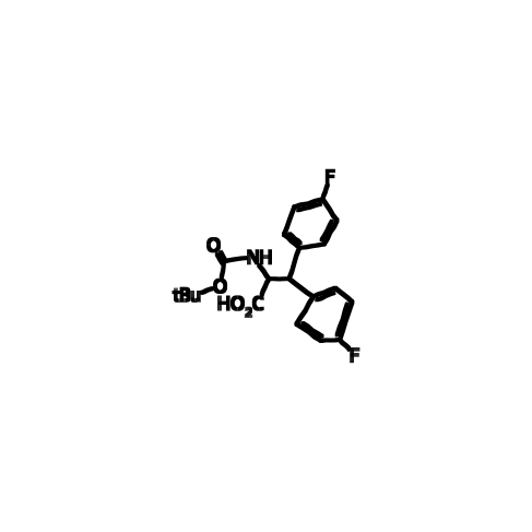 CC(C)(C)OC(=O)NC(C(=O)O)C(c1ccc(F)cc1)c1ccc(F)cc1